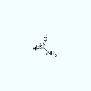 F.N[SiH]=O